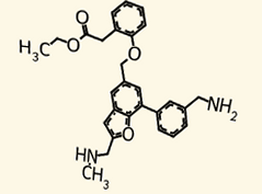 CCOC(=O)Cc1ccccc1OCc1cc(-c2cccc(CN)c2)c2oc(CNC)cc2c1